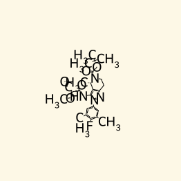 COC(=C=O)C(=O)Nc1c2c(nn1-c1cc(C)c(F)c(C)c1)CCN(C(=O)OC(C)(C)C)[C@H]2C